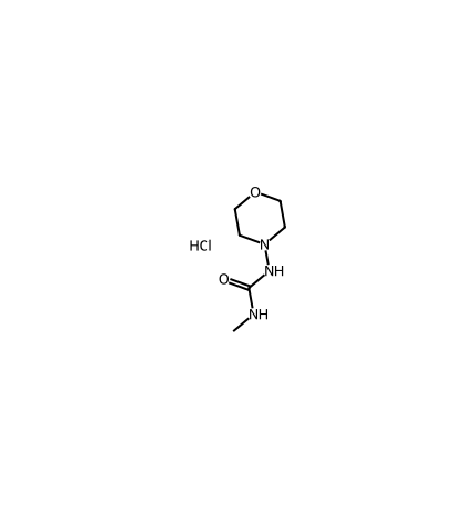 CNC(=O)NN1CCOCC1.Cl